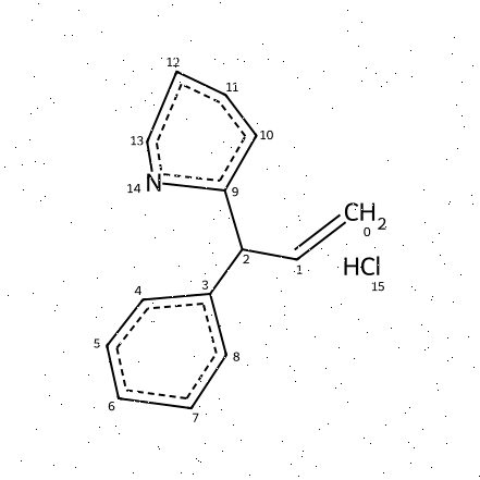 C=CC(c1ccccc1)c1ccccn1.Cl